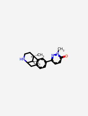 CC1C2Cc3ccc(-c4ccc(=O)n(C)n4)cc3[C@]1(C)CCN2